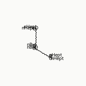 CCCCCCCOC(CCCCCCCCCCCC=CC(OCCCC)OC(C=CCCCCCCCCCCCC(OCCCCCCC)OCCCCCCC)OCCCC)OCCCCCCC